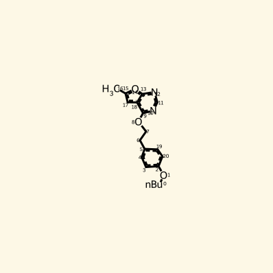 CCCCOc1ccc(CCOc2ncnc3oc(C)cc23)cc1